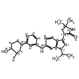 CC(C)n1nc(N2CC(C)(C)NC2=O)c2cnc(Nc3ccnc(N4CCC(O)C(F)C4)n3)cc21